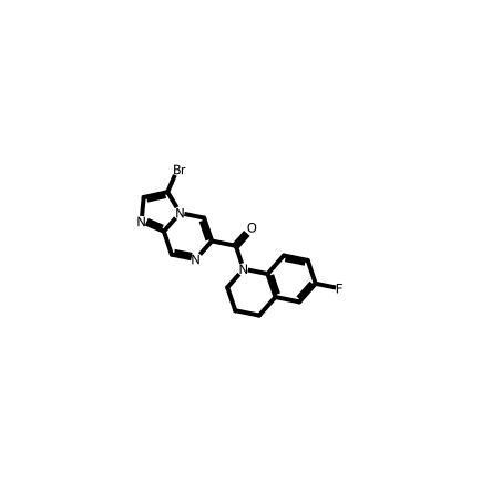 O=C(c1cn2c(Br)cnc2cn1)N1CCCc2cc(F)ccc21